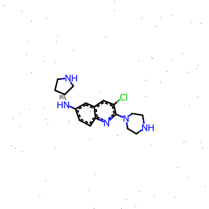 Clc1cc2cc(N[C@@H]3CCNC3)ccc2nc1N1CCNCC1